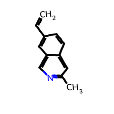 C=Cc1ccc2cc(C)ncc2c1